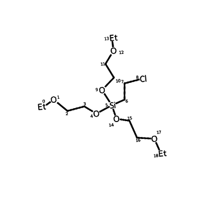 CCOCCO[Si](CCCl)(OCCOCC)OCCOCC